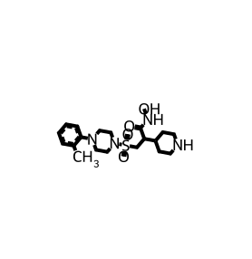 Cc1ccccc1N1CCN(S(=O)(=O)CC(C(=O)NO)C2CCNCC2)CC1